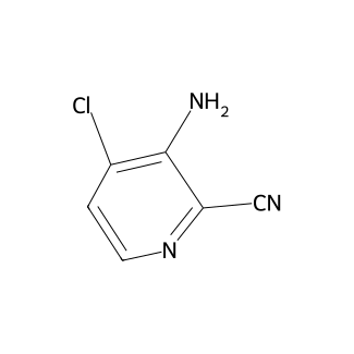 N#Cc1nccc(Cl)c1N